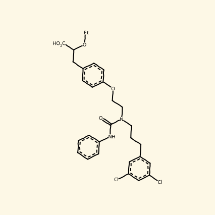 CCOC(Cc1ccc(OCCN(CCCc2cc(Cl)cc(Cl)c2)C(=O)Nc2ccccc2)cc1)C(=O)O